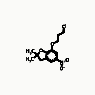 CC1(C)Cc2cc([N+](=O)[O-])cc(OCCCCl)c2O1